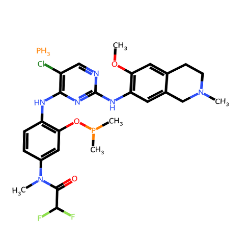 COc1cc2c(cc1Nc1ncc(Cl)c(Nc3ccc(N(C)C(=O)C(F)F)cc3OP(C)C)n1)CN(C)CC2.P